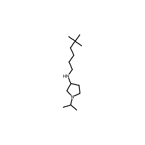 CC(C)N1CCC(NCCCCC(C)(C)C)C1